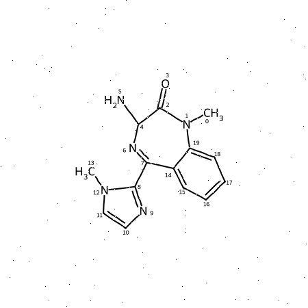 CN1C(=O)C(N)N=C(c2nccn2C)c2ccccc21